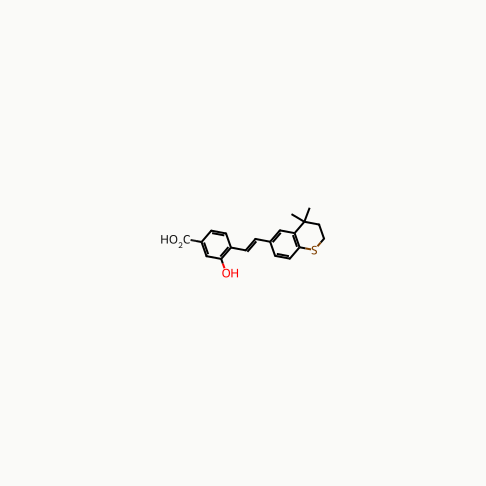 CC1(C)CCSc2ccc(/C=C/c3ccc(C(=O)O)cc3O)cc21